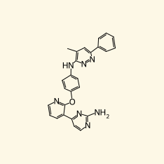 Cc1cc(-c2ccccc2)nnc1Nc1ccc(Oc2ncccc2-c2ccnc(N)n2)cc1